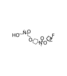 CN(CCO)C(=O)CCOC1CCC(N(C)C(=O)Oc2ccc(F)cc2)CC1